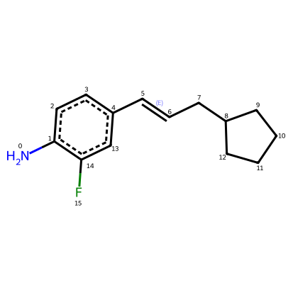 Nc1ccc(/C=C/CC2CCCC2)cc1F